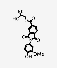 CCC(O)COC(=O)c1ccc2c(c1)C(=O)N(c1ccc(O)c(OC)c1)C2=O